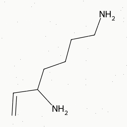 C=CC(N)CCCCN